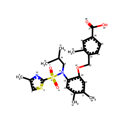 Cc1csc(S(=O)(=O)N(CC(C)C)c2cc(C)c(C)cc2OCc2ccc(C(=O)O)cc2C)n1